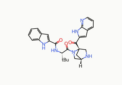 CC(C)(C)[C@H](NC(=O)c1cc2ccccc2[nH]1)C(=O)N1C[C@@H]2C[C@@]1(C(=O)c1cc3cccnc3[nH]1)CN2